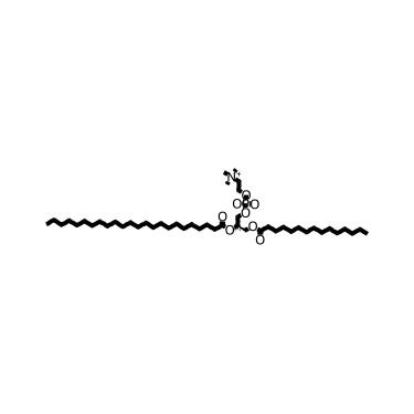 CCCCCCCCCCCCCCCCCCCCCCCC(=O)O[C@H](COC(=O)CCCCCCCCCCCCCC)COP(=O)([O-])OCC[N+](C)(C)C